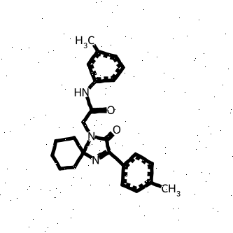 Cc1ccc(C2=NC3(CCCCC3)N(CC(=O)Nc3cccc(C)c3)C2=O)cc1